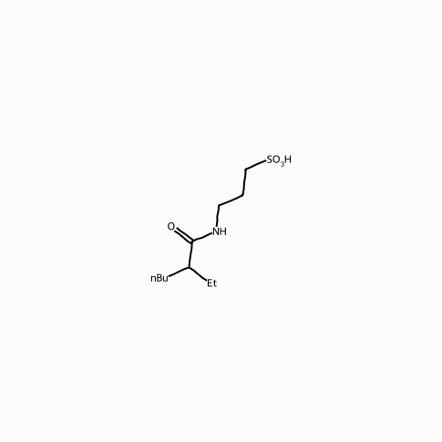 CCCCC(CC)C(=O)NCCCS(=O)(=O)O